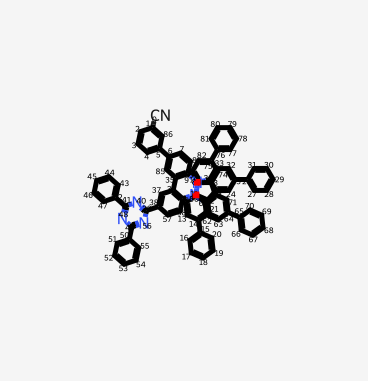 N#Cc1cccc(-c2ccc(-n3c4ccc(-c5ccccc5)cc4c4cc(-c5ccccc5)ccc43)c(-c3cc(-c4nc(-c5ccccc5)nc(-c5ccccc5)n4)ccc3-n3c4ccc(-c5ccccc5)cc4c4cc(-c5ccccc5)ccc43)c2)c1